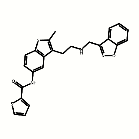 Cc1sc2ccc(NC(=O)c3cccs3)cc2c1CCNCc1noc2ccccc12